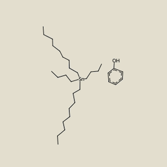 CCCCCCCC[CH2][Sn]([CH2]CCC)([CH2]CCC)[CH2]CCCCCCCC.Oc1ccccc1